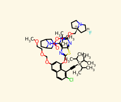 COCCOCOc1cc(Oc2nc3c(N4CC5CCC(C4)N5C(=O)OC(C)(C)C)nc(OC[C@@]45CCCN4C[C@H](F)C5)nc3s2)c2c(C#C[Si](C(C)C)(C(C)C)C(C)C)c(Cl)ccc2c1